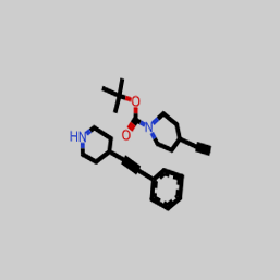 C#CC1CCN(C(=O)OC(C)(C)C)CC1.C(#CC1CCNCC1)c1ccccc1